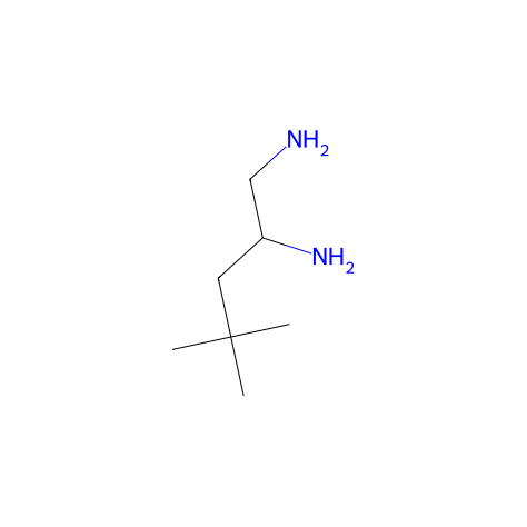 CC(C)(C)CC(N)CN